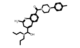 CCCN(CCC)C(O)C1=Cc2ccc(C(=O)N3CCN(c4ccc(C)cc4)CC3)cc2N=C(N)C1